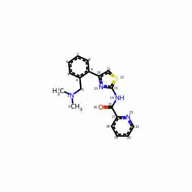 CN(C)Cc1ccccc1-c1csc(NC(=O)c2ccccn2)n1